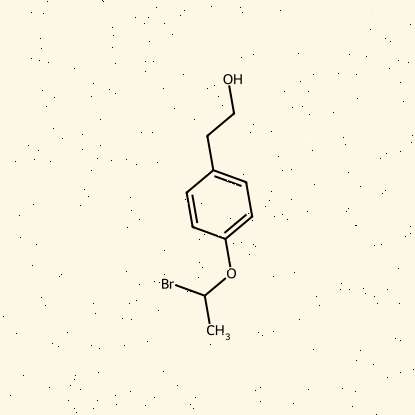 CC(Br)Oc1ccc(CCO)cc1